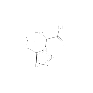 [CH2]Sc1nnnn1C(O)C(N)=O